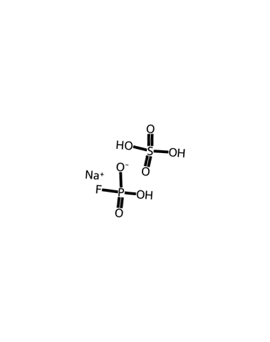 O=P([O-])(O)F.O=S(=O)(O)O.[Na+]